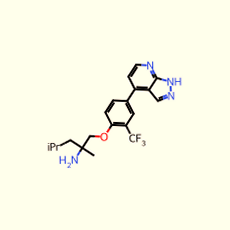 CC(C)CC(C)(N)COc1ccc(-c2ccnc3[nH]ncc23)cc1C(F)(F)F